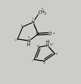 CN1CCNC1=O.c1cc[nH]c1